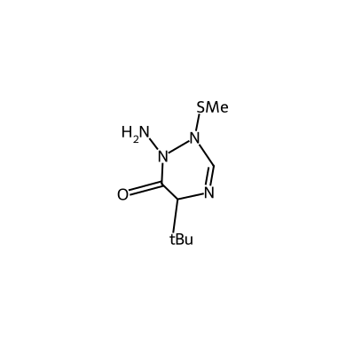 CSN1C=NC(C(C)(C)C)C(=O)N1N